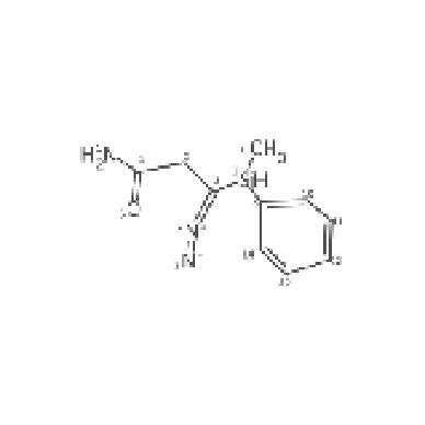 C[SiH](C(CC(N)=O)=[N+]=[N-])c1ccccc1